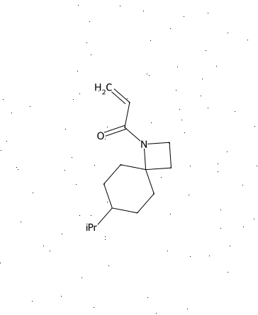 C=CC(=O)N1CCC12CCC(C(C)C)CC2